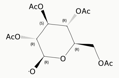 CC(=O)OC[C@H]1O[C@@H]([O])[C@H](OC(C)=O)[C@@H](OC(C)=O)[C@@H]1OC(C)=O